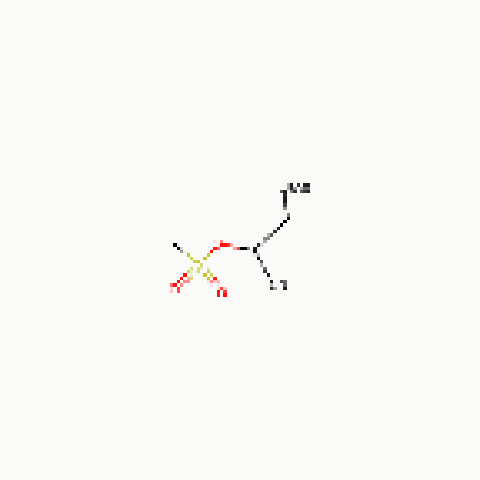 COCC(C#N)OS(C)(=O)=O